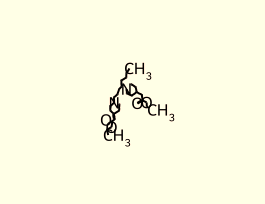 CCCCC(CCCN1CCC(=CC(=O)OCC)CC1)N1CCC(CC(=O)OCC)CC1